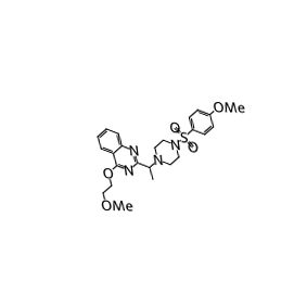 COCCOc1nc(C(C)N2CCN(S(=O)(=O)c3ccc(OC)cc3)CC2)nc2ccccc12